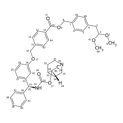 COC(Cc1ccc(COC(=O)c2ccc(COc3cccc([C@@H](NC(=O)O[C@H]4CN5CCC4CC5)c4ccccc4)c3)cc2)cc1)OC